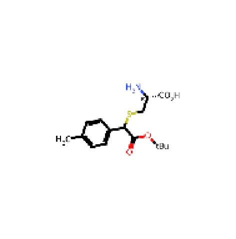 Cc1ccc(C(SC[C@H](N)C(=O)O)C(=O)OC(C)(C)C)cc1